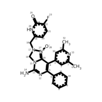 Cc1cc(C2=C(c3ccccc3)N=C(N)N3CN(Cc4ccc(F)c(=O)[nH]4)[N+]([O-])=C23)cc(C)n1